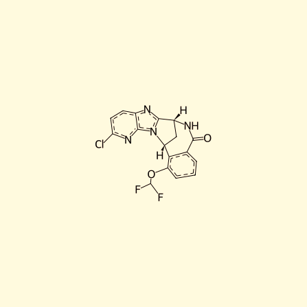 O=C1N[C@@H]2C[C@H](c3c(OC(F)F)cccc31)n1c2nc2ccc(Cl)nc21